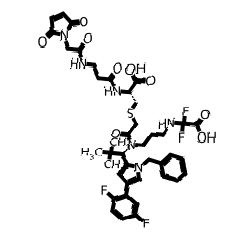 CC(C)(C)[C@H](c1cc(-c2cc(F)ccc2F)cn1Cc1ccccc1)N(CCCNC(F)(F)C(=O)O)C(=O)CSC[C@H](NC(=O)CCNC(=O)CN1C(=O)C=CC1=O)C(=O)O